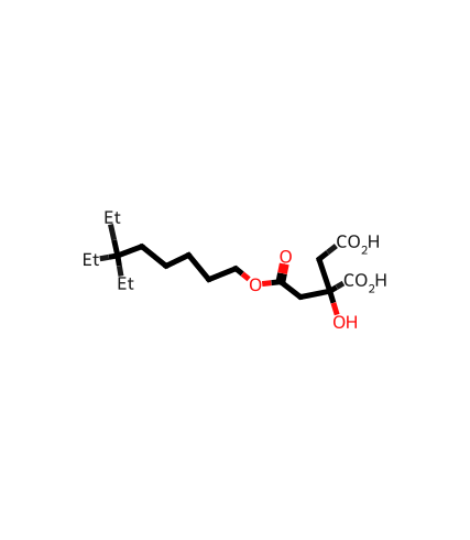 CCC(CC)(CC)CCCCCOC(=O)CC(O)(CC(=O)O)C(=O)O